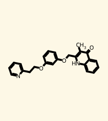 Cc1c(COc2cccc(OCCc3ccccn3)c2)[nH]c2ccccc2c1=O